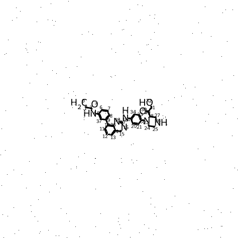 C=CC(=O)Nc1cccc(-c2cccc3cnc(Nc4ccc(N5CCNCC5C(=O)CO)cc4)nc23)c1